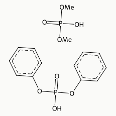 COP(=O)(O)OC.O=P(O)(Oc1ccccc1)Oc1ccccc1